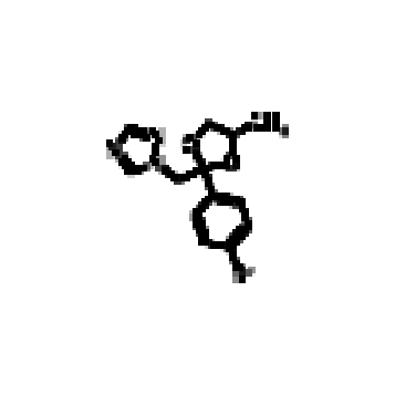 C[C@@H]1COC(Cn2cncn2)(c2ccc(Br)cc2)O1